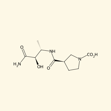 C[C@H](NC(=O)[C@@H]1CCN(C(=O)O)C1)[C@@H](O)C(N)=O